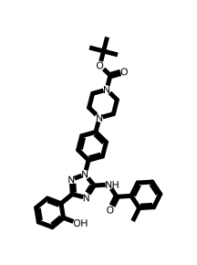 Cc1ccccc1C(=O)Nc1nc(-c2ccccc2O)nn1-c1ccc(N2CCN(C(=O)OC(C)(C)C)CC2)cc1